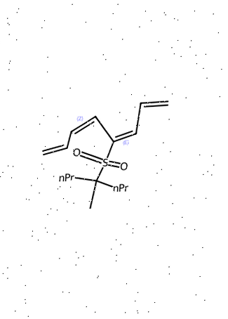 C=C/C=C\C(=C/C=C)S(=O)(=O)C(C)(CCC)CCC